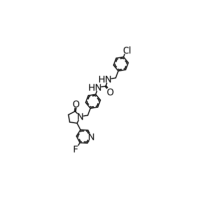 O=C(NCc1ccc(Cl)cc1)Nc1ccc(CN2C(=O)CCC2c2cncc(F)c2)cc1